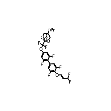 CCCC12COC(C(F)(F)Oc3cc(F)c(-c4cc(F)c(O/C=C/C(F)F)c(F)c4)c(F)c3)(OC1)OC2